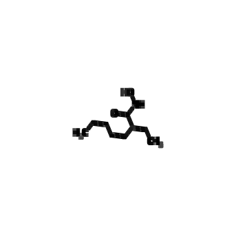 C\C=C/C=C\C(=C/C)C(=O)NO